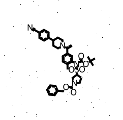 C=C(c1ccc(C)c(N(C(=O)OC(C)(C)C)S(=O)(=O)C2CCN(C(=O)OCc3ccccc3)C2)c1)N1CCC(c2ccc(C#N)cc2)CC1